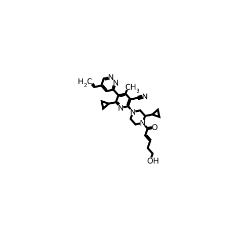 C=Cc1cnnc(-c2c(C3CC3)nc(N3CCN(C(=O)C=CCCO)C(C4CC4)C3)c(C#N)c2C)c1